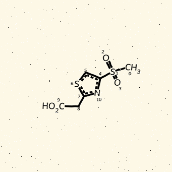 CS(=O)(=O)c1csc(CC(=O)O)n1